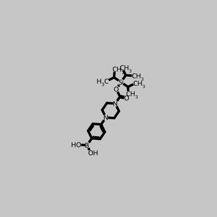 CC(C)[Si](OC(=O)N1CCN(c2ccc(B(O)O)cc2)CC1)(C(C)C)C(C)C